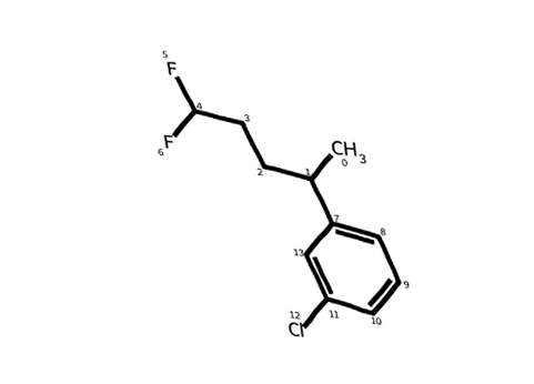 C[C](CCC(F)F)c1cccc(Cl)c1